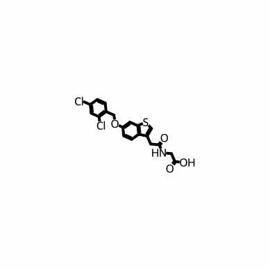 O=C(O)CNC(=O)Cc1csc2cc(OCc3ccc(Cl)cc3Cl)ccc12